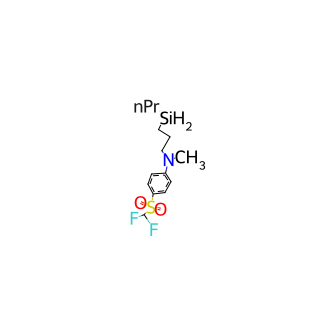 CCC[SiH2]CCCN(C)c1ccc(S(=O)(=O)C(F)F)cc1